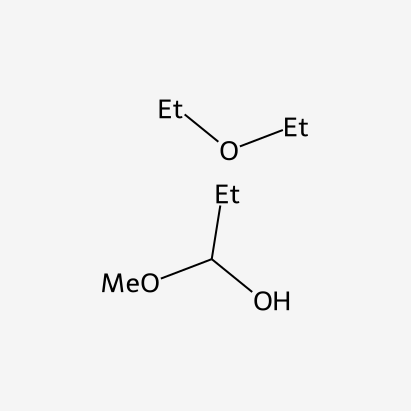 CCC(O)OC.CCOCC